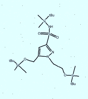 CC(C)(C)[Si](C)(C)NS(=O)(=O)c1cc(CO[Si](C)(C)C(C)(C)C)n(CCO[Si](C)(C)C(C)(C)C)n1